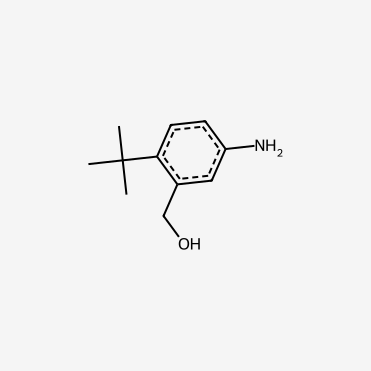 CC(C)(C)c1ccc(N)cc1CO